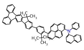 CC(C)(C)c1cc(-c2ccc3c(c2)C(C)(C)c2cc4c5ccccc5c5ccccc5c4cc2-3)ccc1-c1ccc2ccc3c(N(c4ccccc4)c4cccc5ccccc45)ccc4ccc1c2c43